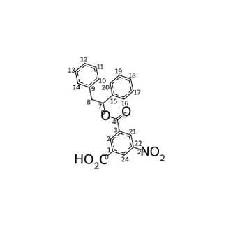 O=C(O)c1cc(C(=O)OC(Cc2ccccc2)c2ccccc2)cc([N+](=O)[O-])c1